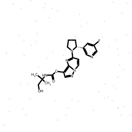 CC(C)(CO)NC(=O)Oc1cnn2ccc(N3CCC[C@@H]3c3cncc(F)c3)nc12